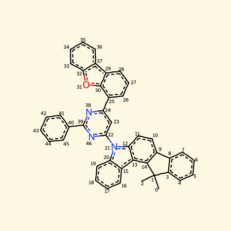 CC1(C)c2ccccc2-c2ccc3c(c21)c1ccccc1n3-c1cc(-c2cccc3c2oc2ccccc23)nc(-c2ccccc2)n1